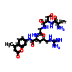 Cc1cc(=O)oc2cc(NC(=O)C(CCCNC(=N)N)NC(=O)CNC(=O)C(CO)NC(=O)C(N)C(C)C)ccc12